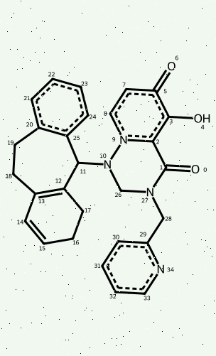 O=C1c2c(O)c(=O)ccn2N(C2C3=C(C=CCC3)CCc3ccccc32)CN1Cc1ccccn1